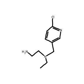 CCN(CCN)Cc1ccc(Cl)nc1